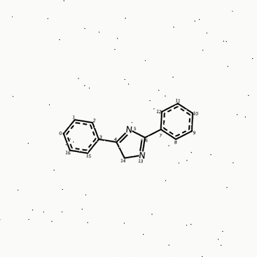 c1ccc(C2=NC(c3ccccc3)=NC2)cc1